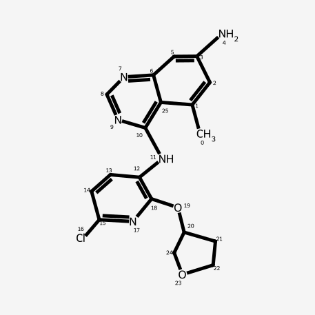 Cc1cc(N)cc2ncnc(Nc3ccc(Cl)nc3OC3CCOC3)c12